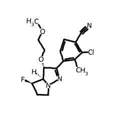 COCCO[C@@H]1C(c2ccc(C#N)c(Cl)c2C)=NN2CC[C@@H](F)[C@@H]12